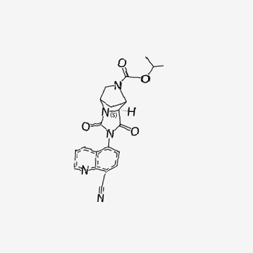 CC(C)OC(=O)N1CC2CC1[C@H]1C(=O)N(c3ccc(C#N)c4ncccc34)C(=O)N21